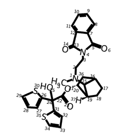 CN(CCN1C(=O)c2ccccc2C1=O)C1C2CC[C@@H]1[C@H](OC(=O)C(O)(c1cccs1)c1cccs1)C2